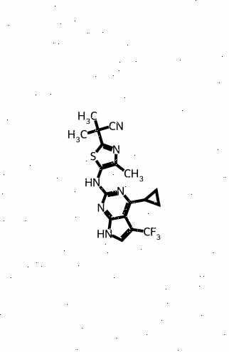 Cc1nc(C(C)(C)C#N)sc1Nc1nc(C2CC2)c2c(C(F)(F)F)c[nH]c2n1